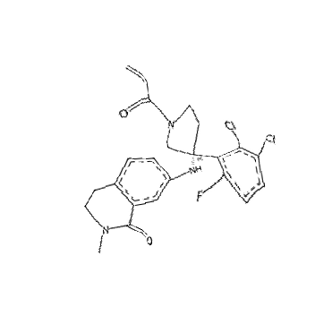 C=CC(=O)N1CC[C@@](Nc2ccc3c(c2)C(=O)N(C)CC3)(c2c(F)ccc(Cl)c2Cl)C1